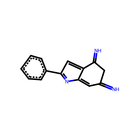 N=C1C=C2N=C(c3ccccc3)C=C2C(=N)C1